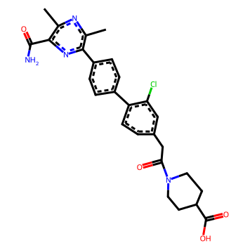 Cc1nc(C)c(-c2ccc(-c3ccc(CC(=O)N4CCC(C(=O)O)CC4)cc3Cl)cc2)nc1C(N)=O